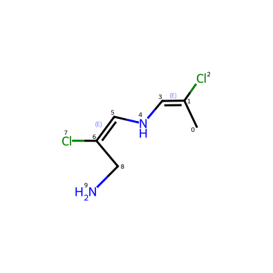 C/C(Cl)=C\N/C=C(/Cl)CN